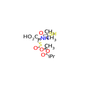 CC(C)C(=O)O[C@@H](C)OC(=O)SC[C@H](NC(=O)C(C)(C)S)C(=O)O